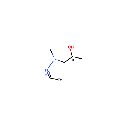 CC/C=N\N(C)C[C@@H](C)O